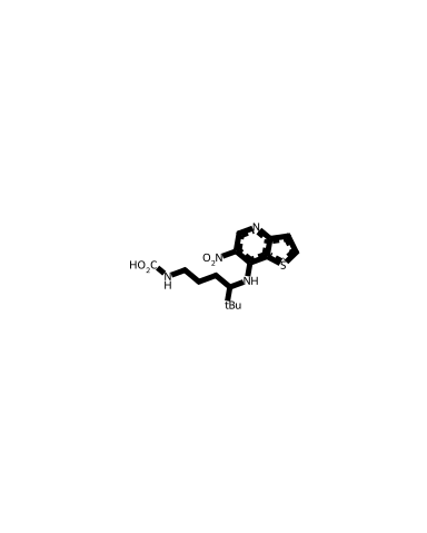 CC(C)(C)C(CCCNC(=O)O)Nc1c([N+](=O)[O-])cnc2ccsc12